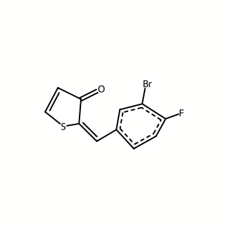 O=C1C=CSC1=Cc1ccc(F)c(Br)c1